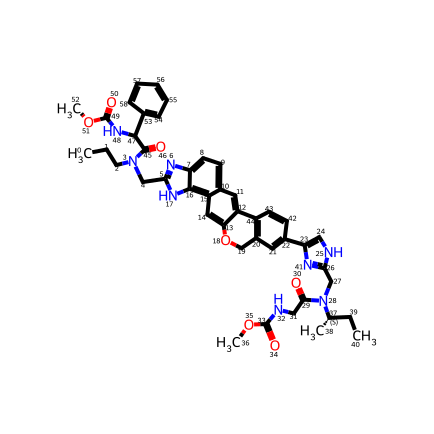 CCCN(Cc1nc2ccc3cc4c(cc3c2[nH]1)OCc1cc(-c2c[nH]c(CN(C(=O)CNC(=O)OC)[C@@H](C)CC)n2)ccc1-4)C(=O)C(NC(=O)OC)c1ccccc1